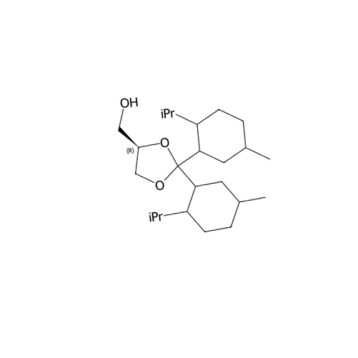 CC1CCC(C(C)C)C(C2(C3CC(C)CCC3C(C)C)OC[C@@H](CO)O2)C1